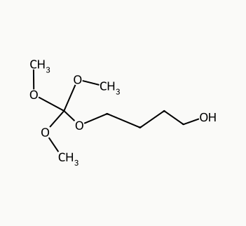 COC(OC)(OC)OCCCCO